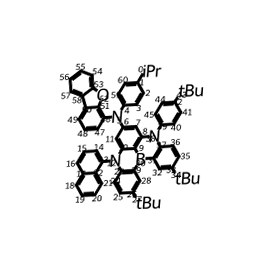 CC(C)c1ccc(N(c2cc3c4c(c2)N(c2cccc5ccccc25)c2ccc(C(C)(C)C)cc2B4c2cc(C(C)(C)C)ccc2N3c2ccc(C(C)(C)C)cc2)c2cccc3c2oc2ccccc23)cc1